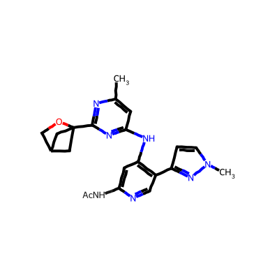 CC(=O)Nc1cc(Nc2cc(C)nc(C34CC(CO3)C4)n2)c(-c2ccn(C)n2)cn1